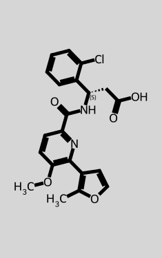 COc1ccc(C(=O)N[C@@H](CC(=O)O)c2ccccc2Cl)nc1-c1ccoc1C